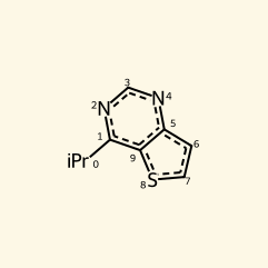 CC(C)c1ncnc2ccsc12